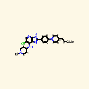 CCN1CCC(Nc2c(Cl)cnc3[nH]c(-c4ccc(N5CCC(CCOC)CC5)cc4)nc23)CC1